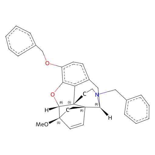 CO[C@]12C=C[C@@]3(CC1)[C@H]1Cc4ccc(OCc5ccccc5)c5c4[C@@]3(CCN1Cc1ccccc1)[C@H]2O5